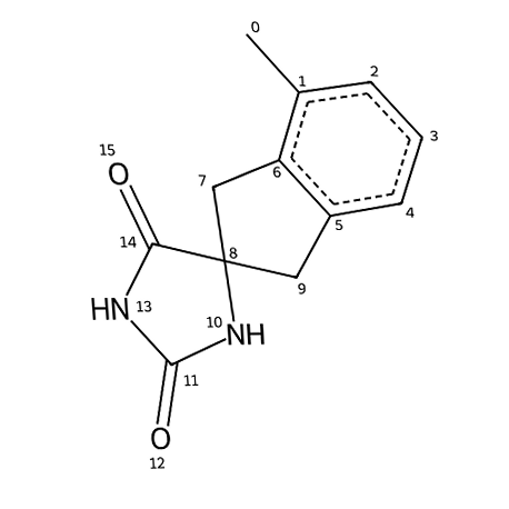 Cc1cccc2c1CC1(C2)NC(=O)NC1=O